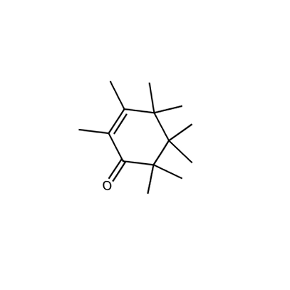 CC1=C(C)C(C)(C)C(C)(C)C(C)(C)C1=O